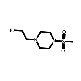 CS(=O)(=O)N1CCN(CCO)CC1